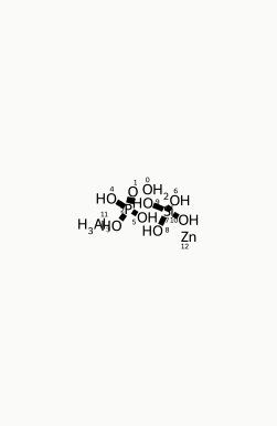 O.O=P(O)(O)O.O[Si](O)(O)O.[AlH3].[Zn]